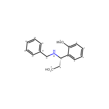 COc1ccccc1[C@H](CC(=O)O)NCc1ccccc1